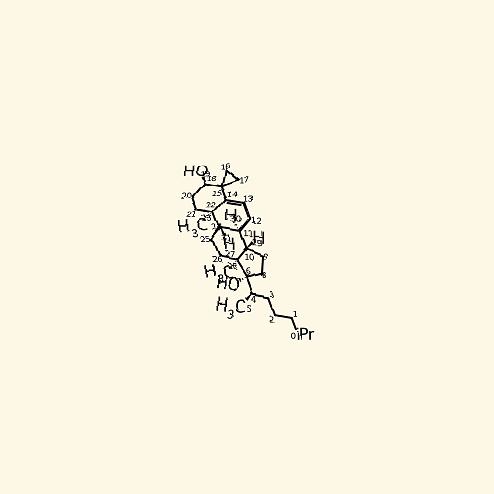 CC(C)CCC[C@@H](C)[C@]1(O)CC[C@H]2[C@@H]3CC=C4C5(CC5)[C@H](O)CC[C@]4(C)[C@H]3CC[C@@]21C